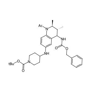 CC(=O)N1c2ccc(NC3CCN(C(=O)OC(C)(C)C)CC3)cc2C(NC(=O)OCc2ccccc2)[C@@H](C)[C@@H]1C